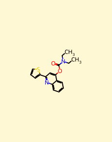 CCN(CC)C(=O)Oc1cc(-c2cccs2)nc2ccccc12